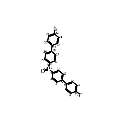 O=[PH](c1ccc(-c2ccc(F)cc2)cc1)c1ccc(-c2ccc(F)cc2)cc1